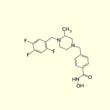 CC1CN(Cc2ccc(C(=O)NO)cc2)CCN1Cc1cc(F)c(F)cc1F